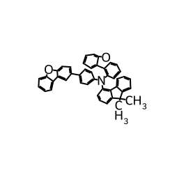 CC1(C)c2ccccc2-c2c(N(c3ccc(-c4ccc5oc6ccccc6c5c4)cc3)c3cccc4oc5ccccc5c34)cccc21